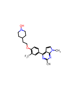 Cn1ccc2c(-c3ccc(OCCC4CCN(O)CC4)c(C(F)(F)F)c3)nc(C#N)nc21